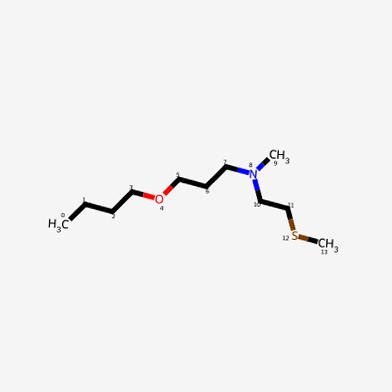 CCCCOCCCN(C)CCSC